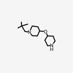 CC(C)(C)CN1CCC(OC2CCNCC2)CC1